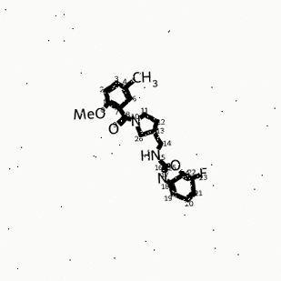 COc1ccc(C)cc1C(=O)N1CCC(CNc2nc3cccc(F)c3o2)C1